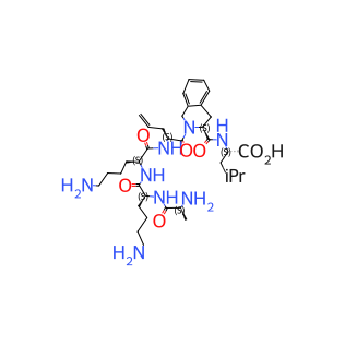 C=CC[C@H](NC(=O)[C@H](CCCCN)NC(=O)[C@H](CCCCN)NC(=O)[C@H](C)N)C(=O)N1Cc2ccccc2C[C@H]1C(=O)N[C@@H](CC(C)C)C(=O)O